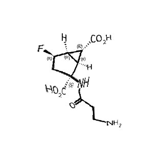 NCCC(=O)N[C@@]1(C(=O)O)C[C@@H](F)[C@H]2[C@H](C(=O)O)[C@H]21